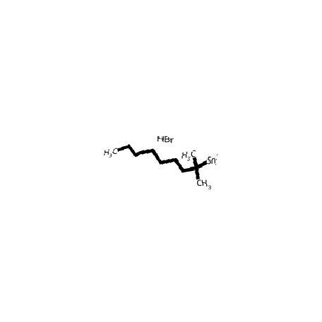 Br.CCCCCCC[C](C)(C)[Sn]